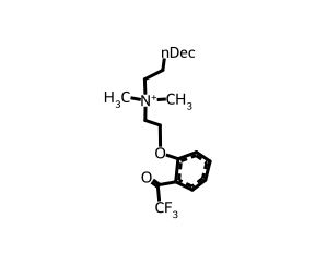 CCCCCCCCCCCC[N+](C)(C)CCOc1ccccc1C(=O)C(F)(F)F